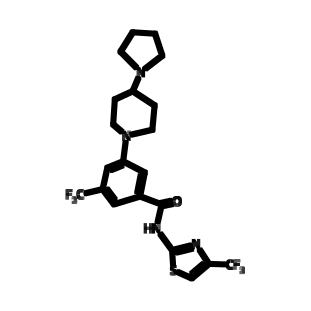 O=C(Nc1nc(C(F)(F)F)cs1)c1cc(N2CCC(N3CCCC3)CC2)cc(C(F)(F)F)c1